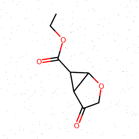 CCOC(=O)C1C2OCC(=O)C21